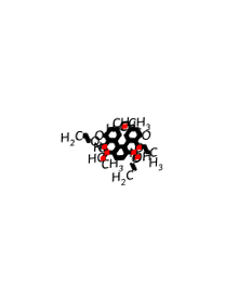 C=CCON=C(CCC)C1=C(c2c(C(=O)O)ccc(C(=O)O)c2C2=C(C(CCC)=NOCC=C)C(=O)CC(C)(C)C2)CC(C)(C)CC1=O